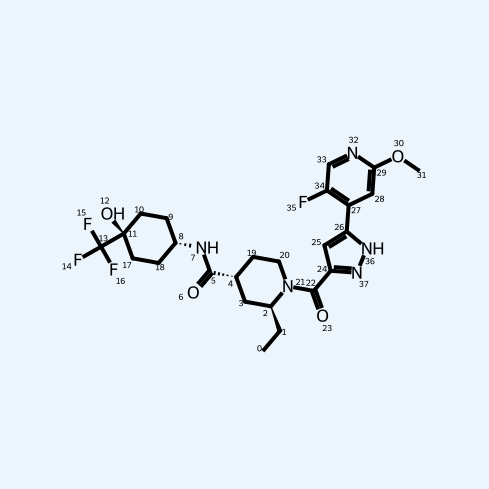 CC[C@H]1C[C@H](C(=O)N[C@H]2CC[C@@](O)(C(F)(F)F)CC2)CCN1C(=O)c1cc(-c2cc(OC)ncc2F)[nH]n1